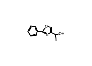 CC(O)c1coc(-c2ccccc2)n1